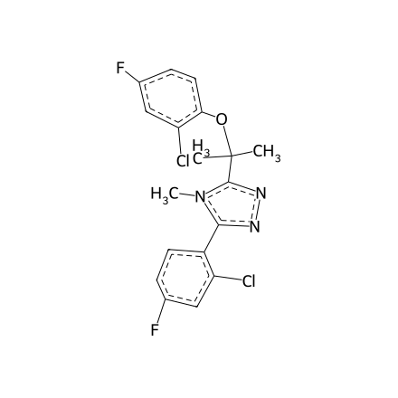 Cn1c(-c2ccc(F)cc2Cl)nnc1C(C)(C)Oc1ccc(F)cc1Cl